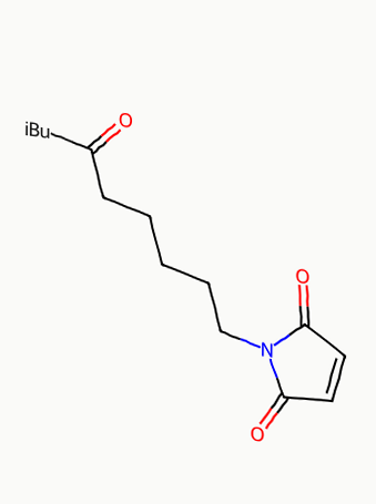 CCC(C)C(=O)CCCCCN1C(=O)C=CC1=O